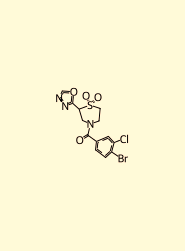 O=C(c1ccc(Br)c(Cl)c1)N1CCS(=O)(=O)C(c2nnco2)C1